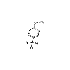 [2H]C([2H])(Cl)c1ccc(OC)nc1